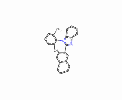 Cc1cccc(C)c1-n1c(-c2ccc3ccccc3c2)nc2ccccc21